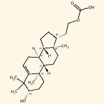 CC1(C)C2=CC[C@H]3[C@@H]4CC[C@H](CCOC(=O)O)[C@@]4(C)CC[C@@H]3[C@@]2(C)CC[C@@H]1O